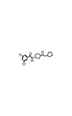 O=C(N[C@H]1CC[C@H](NCC2CCCC2)CC1)c1cc(F)cc(Cl)c1